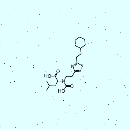 CC(C)CC(C(=O)O)N(CCc1csc(CCC2CCCCC2)n1)C(=O)O